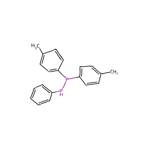 Cc1ccc(P(Pc2ccccc2)c2ccc(C)cc2)cc1